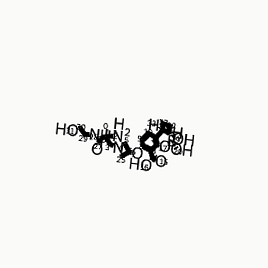 C[C@@](N)(CN1CC(Oc2ccc3c(c2C(=O)O)O[B-](O)(O)[C@@H]2CC[C@H]32)C1)C(=O)NCCO